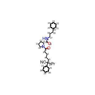 CC(C)C(C#N)(CCCCC(=O)N1CCC[C@@H]1C(=O)NCCCc1ccccc1)c1ccccc1